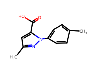 Cc1ccc(-n2nc(C)cc2C(=O)O)cc1